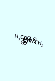 C=CC(=O)NCCOC1C2CC3C1OS(=O)(=O)C3C2C